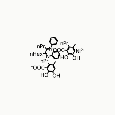 CCCCCCC(=Nc1ccccc1)C(CCC)=Nc1ccccc1.CCCc1c(C)cc(O)c(O)c1C(=O)[O-].CCCc1c(C)cc(O)c(O)c1C(=O)[O-].[Ni+2]